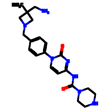 CCOC(=O)C1(CN)CN(Cc2ccc(-n3ccc(NC(=O)N4CCNCC4)nc3=O)cc2)C1